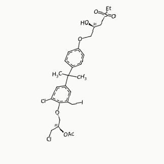 CCS(=O)(=O)C[C@H](O)COc1ccc(C(C)(C)c2cc(Cl)c(OC[C@H](CCl)OC(C)=O)c(CI)c2)cc1